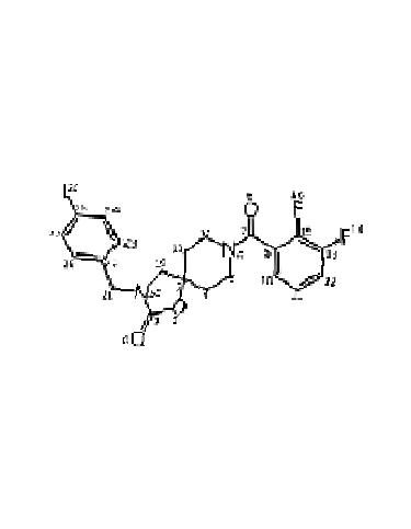 O=C1OC2(CCN(C(=O)c3cccc(F)c3F)CC2)CN1Cc1ccc(I)cc1